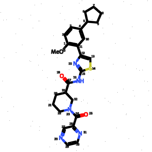 COc1ccc(C2CCCC2)cc1-c1csc(NC(=O)C2CCCN(C(=O)c3cnccn3)C2)n1